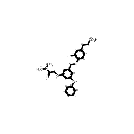 CN(C)C(=O)COc1cc(COc2ccc(CCC(=O)O)cc2F)cc(Oc2ccccc2)c1